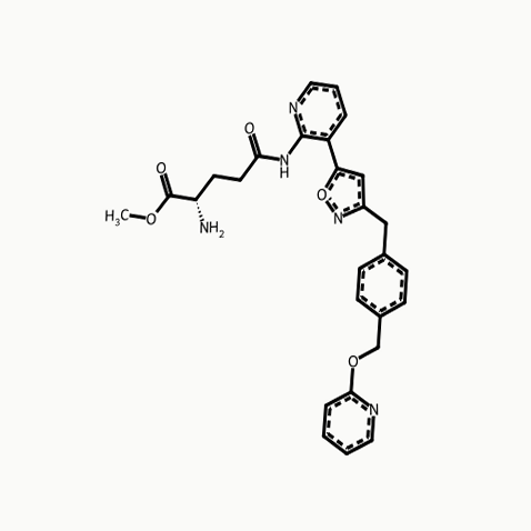 COC(=O)[C@@H](N)CCC(=O)Nc1ncccc1-c1cc(Cc2ccc(COc3ccccn3)cc2)no1